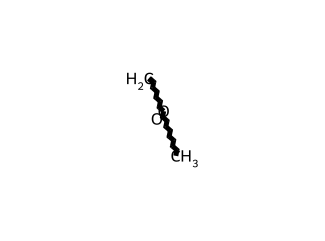 C=CCCCCCOC(=O)CCCCCCCC